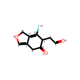 O=CCC1C(=O)CC2=COCC2=C1F